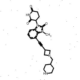 Cn1c(=O)n(C2CCC(=O)NC2=O)c2cccc(C#CC3CN(CC4CCNCC4)C3)c21